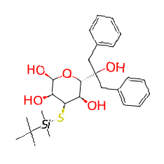 CC(C)(C)[Si](C)(C)S[C@H]1[C@@H](O)[C@@H](O)O[C@H](C(O)(Cc2ccccc2)Cc2ccccc2)[C@H]1O